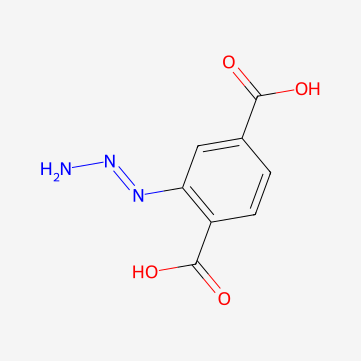 NN=Nc1cc(C(=O)O)ccc1C(=O)O